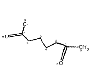 CC(=O)CCCCC(=O)Cl